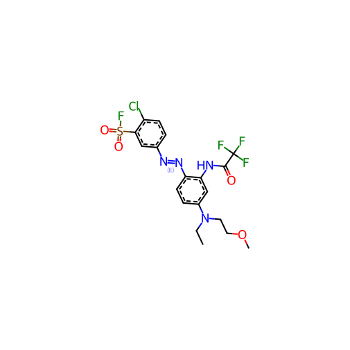 CCN(CCOC)c1ccc(/N=N/c2ccc(Cl)c(S(=O)(=O)F)c2)c(NC(=O)C(F)(F)F)c1